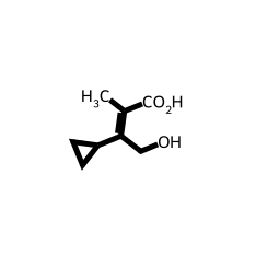 CC(C(=O)O)=C(CO)C1CC1